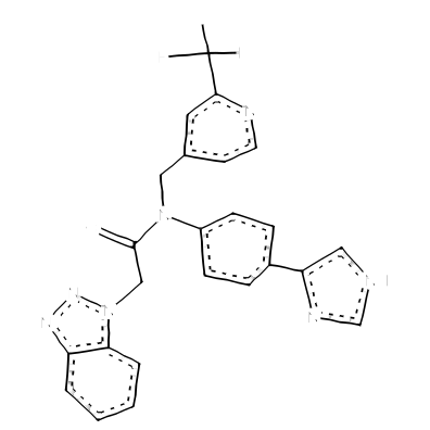 O=C(Cn1nnc2ccccc21)N(Cc1ccnc(C(F)(F)F)c1)c1ccc(-c2c[nH]cn2)cc1